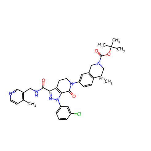 Cc1ccncc1CNC(=O)c1nn(-c2cccc(Cl)c2)c2c1CCN(c1ccc3c(c1)CN(C(=O)OC(C)(C)C)C[C@@H]3C)C2=O